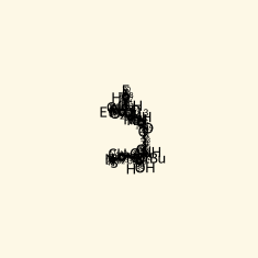 CCS(=O)(=O)Nc1ccc(-c2n[nH]c(Nc3ccc(C(=O)OCCCCCC(=O)N[C@H](C(=O)N4C[C@H](O)C[C@H]4C(=O)NCc4ccc(-c5scnc5C)cc4)C(C)(C)C)cn3)c2C(N)=O)cc1O[C@@H](C)c1ccc(F)cc1